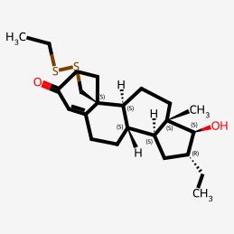 CCSSC[C@]12CCC(=O)C=C1CC[C@@H]1[C@@H]2CC[C@]2(C)[C@@H](O)[C@H](CC)C[C@@H]12